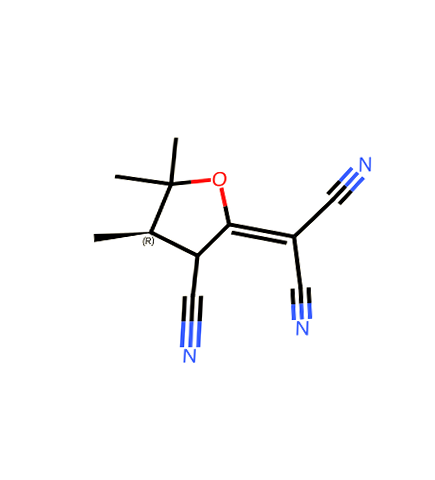 C[C@@H]1C(C#N)C(=C(C#N)C#N)OC1(C)C